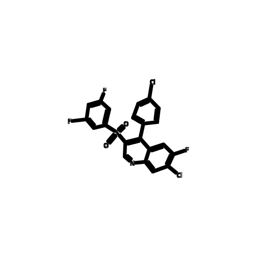 O=S(=O)(c1cc(F)cc(F)c1)c1cnc2cc(Cl)c(F)cc2c1-c1ccc(Cl)cc1